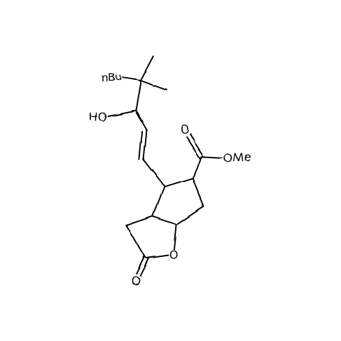 CCCCC(C)(C)C(O)/C=C/C1C(C(=O)OC)CC2OC(=O)CC21